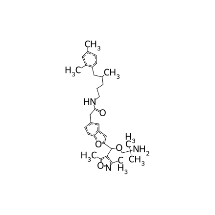 Cc1ccc(CC(C)CCCNC(=O)Cc2ccc3oc(C(OCC(C)(C)N)c4c(C)noc4C)cc3c2)c(C)c1